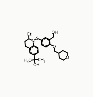 CCC1CCc2cc(C(C)(C)O)ccc2N1Sc1ccc(OCC2CCOCC2)c(CO)c1